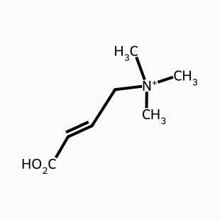 C[N+](C)(C)C/C=C/C(=O)O